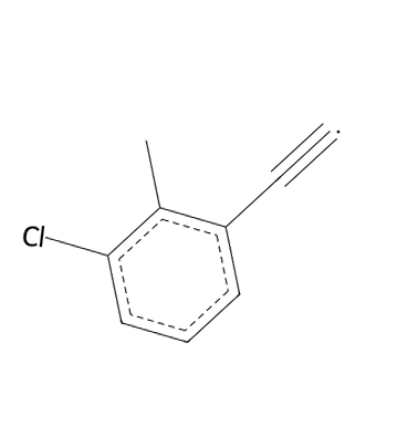 [C]#Cc1cccc(Cl)c1C